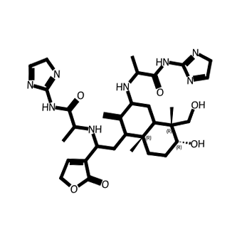 C=C1C(NC(C)C(=O)NC2=NCC=N2)CC2[C@](C)(CC[C@@H](O)[C@@]2(C)CO)C1CC(NC(C)C(=O)NC1=NCC=N1)C1=CCOC1=O